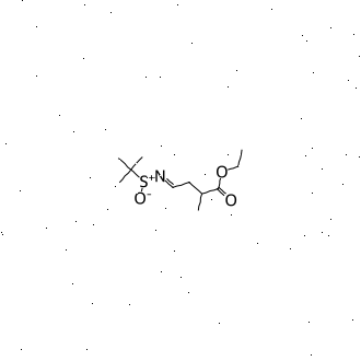 CCOC(=O)C(C)CC=N[S+]([O-])C(C)(C)C